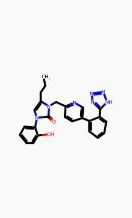 CCCc1cn(-c2ccccc2O)c(=O)n1Cc1ccc(-c2ccccc2-c2nnn[nH]2)cn1